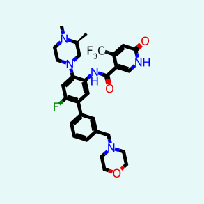 C[C@H]1CN(c2cc(F)c(-c3cccc(CN4CCOCC4)c3)cc2NC(=O)c2c[nH]c(=O)cc2C(F)(F)F)CCN1C